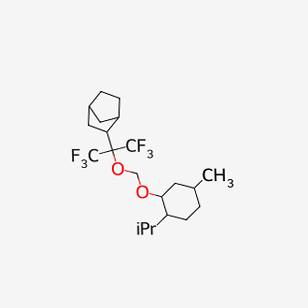 CC1CCC(C(C)C)C(OCOC(C2CC3CCC2C3)(C(F)(F)F)C(F)(F)F)C1